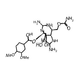 COC1CCC(C(O)O[C@H]2CN3C(N)N[C@@H](COC(N)=O)C4NC(N)NC43C2(O)O)CC1OC